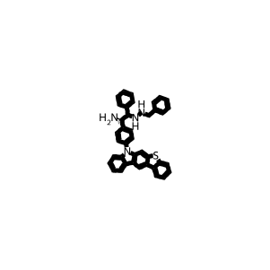 N[C@@H](c1ccc(-n2c3ccccc3c3cc4c(cc32)sc2ccccc24)cc1)C(NNCc1ccccc1)c1ccccc1